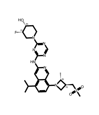 CC(C)c1ccc(N2C[C@H](CS(C)(=O)=O)[C@H]2C)c2cnc(Nc3ncnc(N4CC[C@@H](O)[C@@H](F)C4)n3)cc12